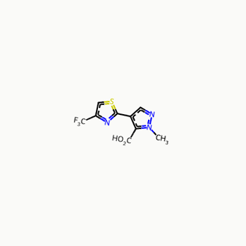 Cn1ncc(-c2nc(C(F)(F)F)cs2)c1C(=O)O